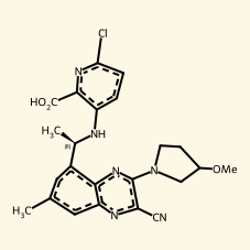 COC1CCN(c2nc3c([C@@H](C)Nc4ccc(Cl)nc4C(=O)O)cc(C)cc3nc2C#N)C1